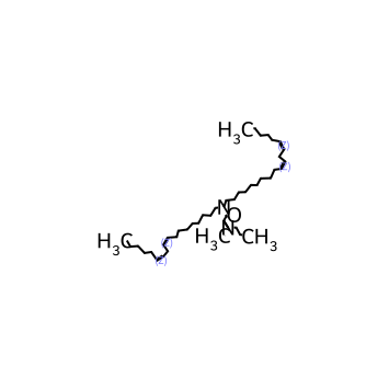 CCCCC/C=C\C/C=C\CCCCCCCCCN(CCCCCCCC/C=C\C/C=C\CCCCC)C(=O)CN(C)CCC